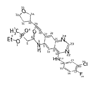 CCOP(C)(=O)CC(=O)Nc1cc2c(Nc3ccc(F)c(Cl)c3)ncnc2cc1C#CC1CCOC1